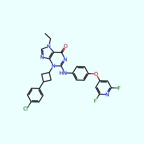 CCn1cnc2c1c(=O)nc(Nc1ccc(Oc3cc(F)nc(F)c3)cc1)n2C1CC(c2ccc(Cl)cc2)C1